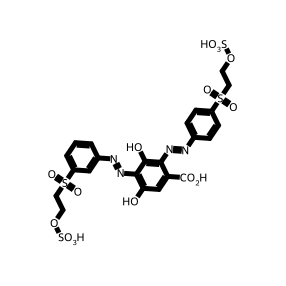 O=C(O)c1cc(O)c(N=Nc2cccc(S(=O)(=O)CCOS(=O)(=O)O)c2)c(O)c1N=Nc1ccc(S(=O)(=O)CCOS(=O)(=O)O)cc1